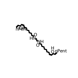 CCCCC/C=C\C(O)/C=C\CCCCCCCC(=O)NCCNC(=O)CCCCCCC/C=C\C(O)/C=C\CCCCC